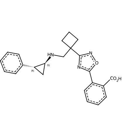 O=C(O)c1ccccc1-c1nc(C2(CN[C@H]3C[C@@H]3c3ccccc3)CCC2)no1